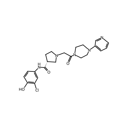 O=C(Nc1ccc(O)c(Cl)c1)[C@@H]1CCN(CC(=O)N2CCN(c3cccnc3)CC2)C1